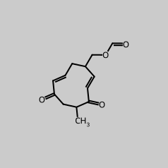 CC1CC(=O)/C=C/CC(COC=O)/C=C/C1=O